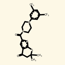 CC1(C)CC(=O)c2cc(C(=O)N3CCN(c4cc(C(F)(F)F)cc(C(F)(F)F)c4)CC3)sc2S1